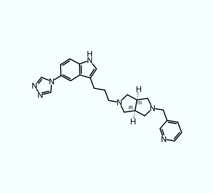 c1cncc(CN2C[C@H]3CN(CCCc4c[nH]c5ccc(-n6cnnc6)cc45)C[C@H]3C2)c1